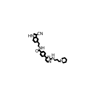 N#Cc1c[nH]c2ccc(CCNC(=O)c3ccc(-c4ccnc(NCCCN5CCCCC5)n4)cc3)cc12